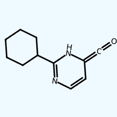 O=C=C1C=CN=C(C2CCCCC2)N1